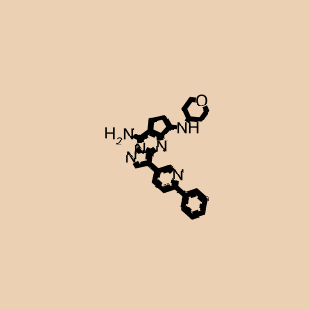 Nc1c2c(nc3c(-c4ccc(-c5ccccc5)nc4)cnn13)C(NC1CCOCC1)CC2